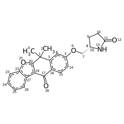 CC1(C)c2cc(OC[C@@H]3CCC(=O)N3)ccc2C(=O)c2c1oc1ccccc21